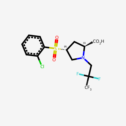 O=C(O)[C@@H]1C[C@@H](S(=O)(=O)c2ccccc2Cl)CN1CC(F)(F)C(F)(F)F